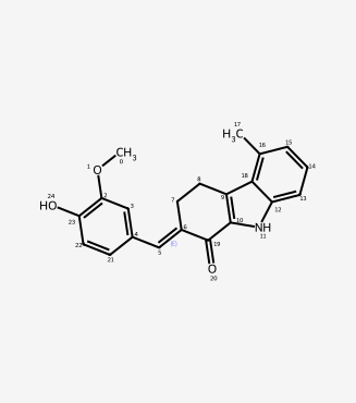 COc1cc(/C=C2\CCc3c([nH]c4cccc(C)c34)C2=O)ccc1O